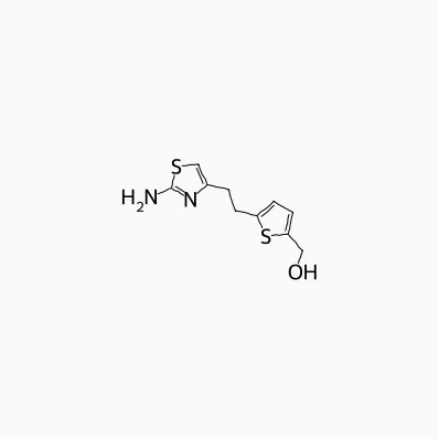 Nc1nc(CCc2ccc(CO)s2)cs1